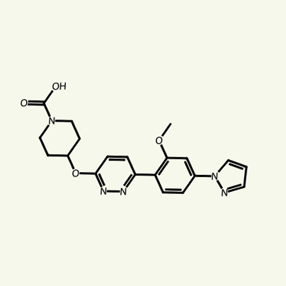 COc1cc(-n2cccn2)ccc1-c1ccc(OC2CCN(C(=O)O)CC2)nn1